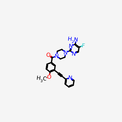 COc1ccc(C(=O)N2CCN(c3ncc(F)c(N)n3)CC2)cc1C#Cc1ccccn1